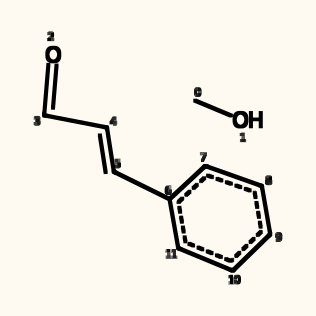 CO.O=CC=Cc1ccccc1